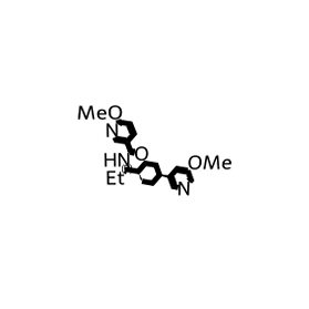 CC[C@@H](NC(=O)c1ccc(OC)nc1)[C@H]1CC[C@H](c2cncc(OC)c2)CC1